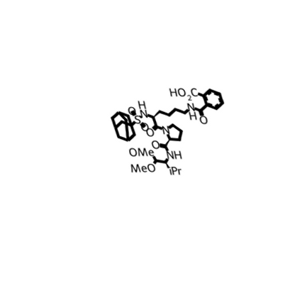 COC(OC)[C@@H](NC(=O)[C@@H]1CCCN1C(=O)[C@H](CCCCNC(=O)c1ccccc1C(=O)O)NS(=O)(=O)C12CC3CC(CC(C3)C1)C2)C(C)C